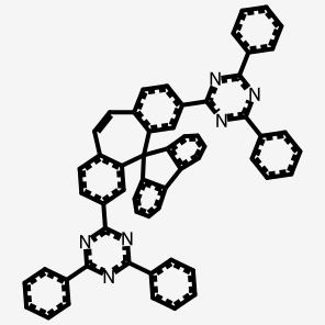 C1=Cc2ccc(-c3nc(-c4ccccc4)nc(-c4ccccc4)n3)cc2C2(c3cc(-c4nc(-c5ccccc5)nc(-c5ccccc5)n4)ccc31)c1ccccc1-c1ccccc12